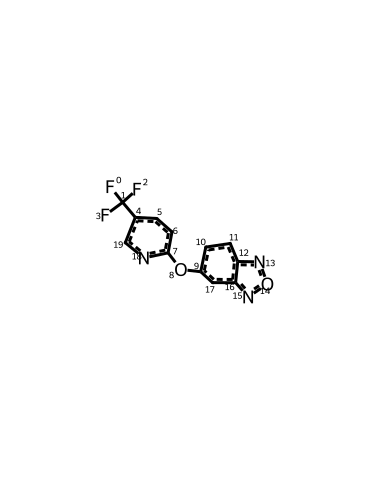 FC(F)(F)c1ccc(Oc2ccc3nonc3c2)nc1